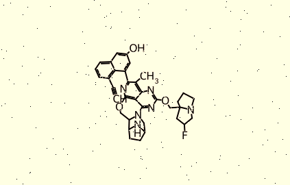 C#Cc1cccc2cc(O)cc(-c3nc4c5c(nc(OCC67CCCN6CC(F)C7)nc5c3C)N3CC5CCC(N5)C3CO4)c12